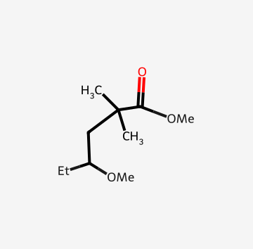 CCC(CC(C)(C)C(=O)OC)OC